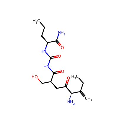 C=C(CC)[C@H](N)C(=O)C[C@@H](CO)C(=O)NC(=O)N[C@@H](CCC)C(N)=O